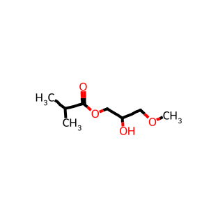 COCC(O)COC(=O)C(C)C